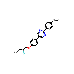 CCCCCCCCCc1ccc(-c2ncc(-c3ccc(OCC(F)CC(C)C)cc3)cn2)cc1